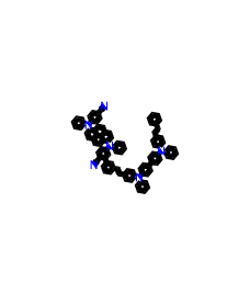 N#Cc1ccc(N(c2ccccc2)c2ccc3ccc4c(N(c5ccccc5)c5ccc(C#N)c(-c6cccc(/C=C/c7ccc(N(c8ccccc8)c8ccc(-c9ccc(N(c%10ccccc%10)c%10ccc(/C=C/c%11ccccc%11)cc%10)cc9)cc8)cc7)c6)c5)ccc5ccc2c3c54)cc1